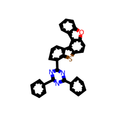 c1ccc(-c2nc(-c3ccccc3)nc(-c3cccc4c3sc3ccc5oc6ccccc6c5c34)n2)cc1